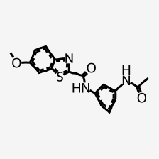 COc1ccc2nc(C(=O)Nc3cccc(NC(C)=O)c3)sc2c1